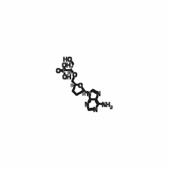 Nc1ncnc2c1ncn2[C@H]1CC[C@@H](CO[C@@H](CO)P(=O)(O)O)O1